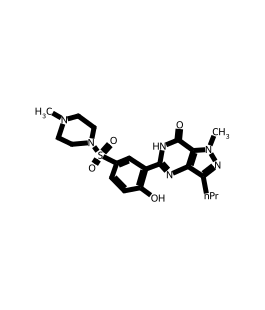 CCCc1nn(C)c2c(=O)[nH]c(-c3cc(S(=O)(=O)N4CCN(C)CC4)ccc3O)nc12